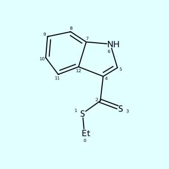 CCSC(=S)c1c[nH]c2ccccc12